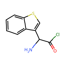 NC(C(=O)Cl)c1csc2ccccc12